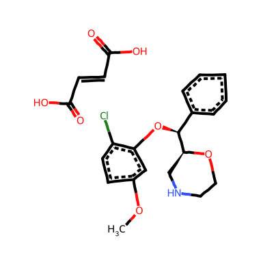 COc1ccc(Cl)c(O[C@@H](c2ccccc2)[C@@H]2CNCCO2)c1.O=C(O)/C=C/C(=O)O